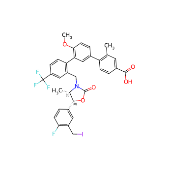 COc1ccc(-c2ccc(C(=O)O)cc2C)cc1-c1ccc(C(F)(F)F)cc1CN1C(=O)O[C@H](c2ccc(F)c(CI)c2)[C@@H]1C